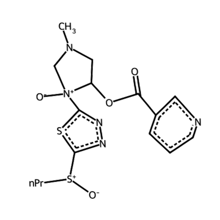 CCC[S+]([O-])c1nnc([N+]2([O-])CN(C)CC2OC(=O)c2cccnc2)s1